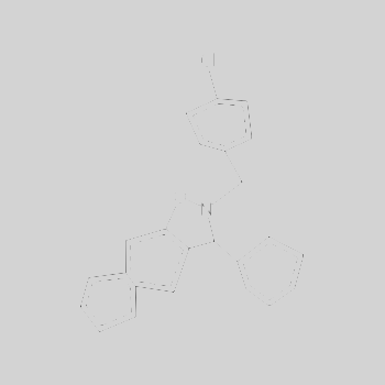 Clc1ccc(CN2Oc3cc4ccccc4cc3C2c2ccccc2)cc1